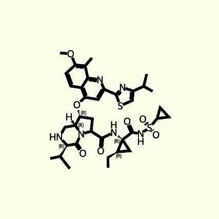 CC[C@@H]1C[C@]1(NC(=O)C1C[C@@H](Oc2cc(-c3nc(C(C)C)cs3)nc3c(C)c(OC)ccc23)[C@H]2CN[C@H](C(C)C)C(=O)N12)C(=O)NS(=O)(=O)C1CC1